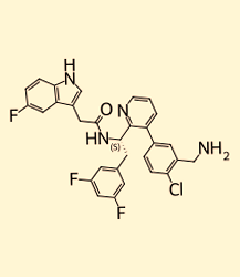 NCc1cc(-c2cccnc2[C@H](Cc2cc(F)cc(F)c2)NC(=O)Cc2c[nH]c3ccc(F)cc23)ccc1Cl